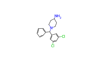 NC1CCN(C(c2ccccc2)c2cc(Cl)cc(Cl)c2)CC1